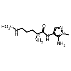 Cn1ncc(NC(=O)[C@@H](N)CCCNC(=O)O)c1N